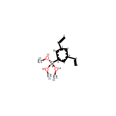 C=Cc1cc(C=C)cc([Si](OCC)(OCC)OCC)c1